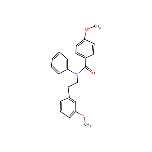 COc1ccc(C(=O)N(CCc2cccc(OC)c2)c2ccccc2)cc1